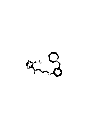 Cn1ncnc1NCCCOc1cccc(CN2CCCCCC2)c1